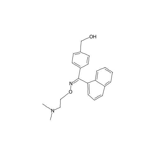 CN(C)CCO/N=C(/c1ccc(CO)cc1)c1cccc2ccccc12